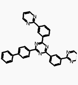 c1ccc(-c2ccc(-c3nc(-c4cccc(-c5ncccn5)c4)nc(-c4cccc(-c5ncccn5)c4)n3)cc2)cc1